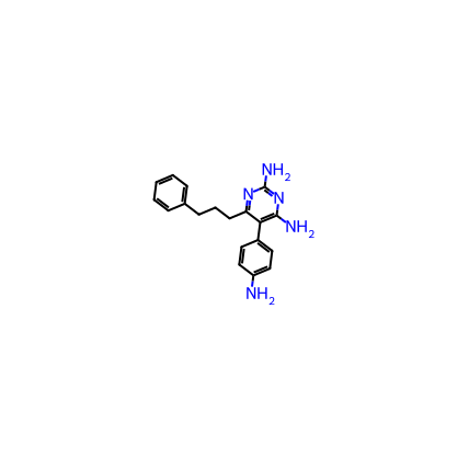 Nc1ccc(-c2c(N)nc(N)nc2CCCc2ccccc2)cc1